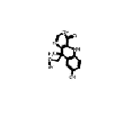 CC(C)OCC1(C(F)(F)F)c2cc(C#N)ccc2Nc2c1nc[nH]c2=O